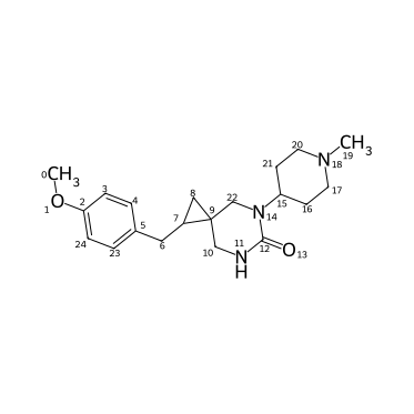 COc1ccc(CC2CC23CNC(=O)N(C2CCN(C)CC2)C3)cc1